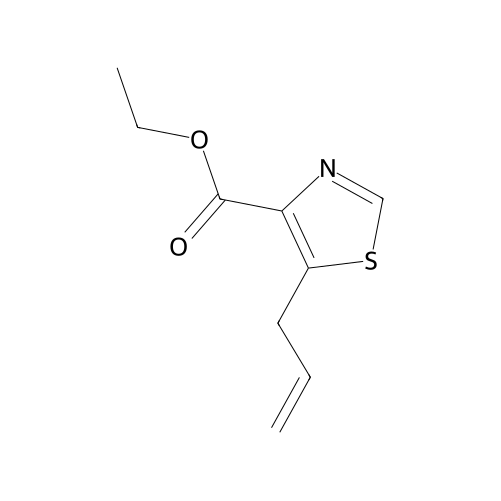 C=CCc1scnc1C(=O)OCC